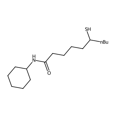 CCCCC(S)CCCCC(=O)NC1CCCCC1